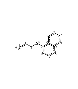 C=CCSc1ncnc2ccccc12